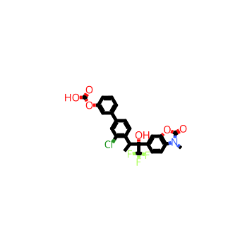 CC(c1ccc(-c2cccc(OC(=O)O)c2)cc1Cl)C(O)(c1ccc2c(c1)oc(=O)n2C)C(F)(F)F